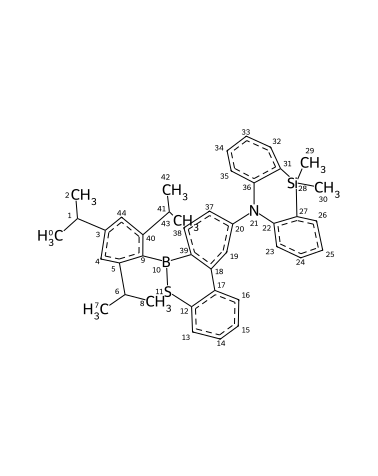 CC(C)c1cc(C(C)C)c(B2Sc3ccccc3-c3cc(N4c5ccccc5[Si](C)(C)c5ccccc54)ccc32)c(C(C)C)c1